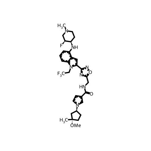 CO[C@@]1(C)CC[C@H](n2ccc(C(=O)NCc3nc(-c4cc5c(N[C@@H]6CCN(C)C[C@@H]6F)cccc5n4CC(F)(F)F)no3)c2)C1